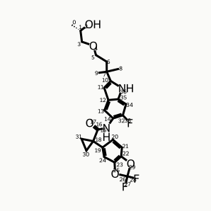 C[C@H](O)COCCC(C)(C)c1cc2cc(NC(=O)C3(c4ccc5c(c4)OC(F)(F)O5)CC3)c(F)cc2[nH]1